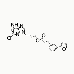 Nc1nc(Cl)nc2c1ncn2CCCCOC(=O)CCc1cccc(-c2ccco2)c1